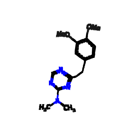 COc1ccc(Cc2ncnc(N(C)C)n2)cc1OC